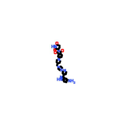 Nc1ccc2[nH]nc(-c3ccnc(N4CCN(CC5CCN(c6ccc7c(c6)C(=O)N(C6CCC(=O)NC6=O)C7=O)CC5)CC4)c3)c2c1